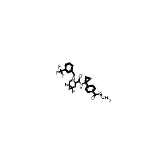 COC(=O)c1ccc(C2(NC(=O)C3C[C@@H]4C[C@@H]4CN3Cc3cccc(C(F)(F)F)c3)CC2)cc1